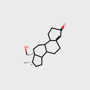 C[C@H]1CCC2C3CCC4=CC(=O)CCC4C3CC[C@@]21CO